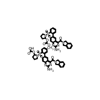 COC(=O)OC1CCCN1S(=O)(=O)c1ccccc1-c1ccc2nc(N)nc(C(=O)N3Cc4ccccc4C3)c2c1.Nc1nc(C(=O)N2Cc3ccccc3C2)c2cc(-c3ccccc3S(=O)(=O)N3CCCC3OC(=O)O)ccc2n1